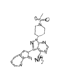 CS(=O)(=O)N1CCC(n2nc(-c3cc4cccnc4[nH]3)c3c(N)ncnc32)CC1